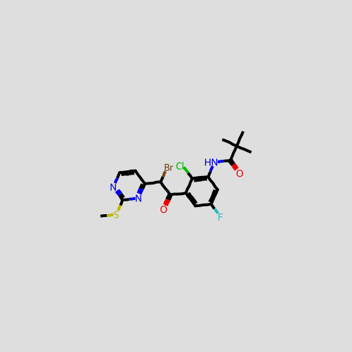 CSc1nccc(C(Br)C(=O)c2cc(F)cc(NC(=O)C(C)(C)C)c2Cl)n1